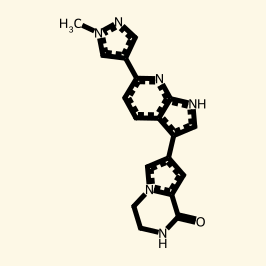 Cn1cc(-c2ccc3c(-c4cc5n(c4)CCNC5=O)c[nH]c3n2)cn1